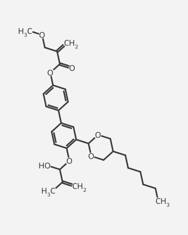 C=C(COC)C(=O)Oc1ccc(-c2ccc(OC(O)C(=C)C)c(C3OCC(CCCCCC)CO3)c2)cc1